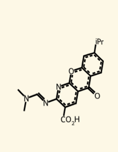 CC(C)c1ccc2c(=O)c3cc(C(=O)O)c(/N=C/N(C)C)nc3oc2c1